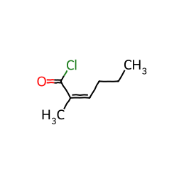 CCCC=C(C)C(=O)Cl